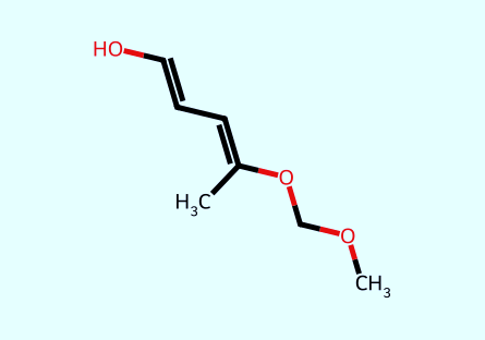 COCO/C(C)=C/C=C/O